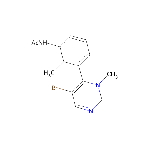 CC(=O)NC1C=CC=C(C2=C(Br)C=NCN2C)C1C